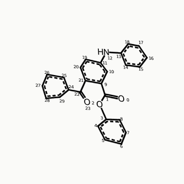 O=C(Oc1ccccc1)c1cc(Nc2ccccc2)ccc1C(=O)c1ccccc1